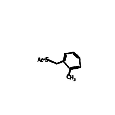 CC(=O)SCc1ccccc1C